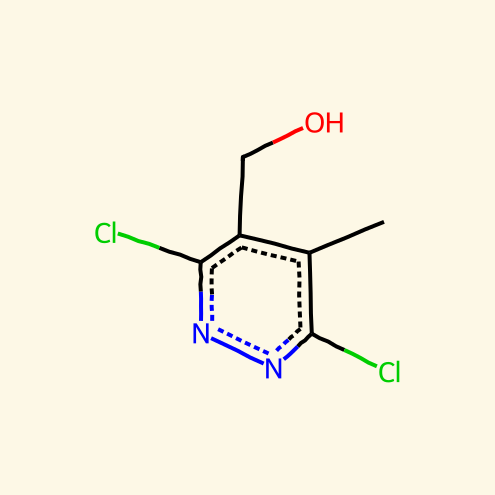 Cc1c(Cl)nnc(Cl)c1CO